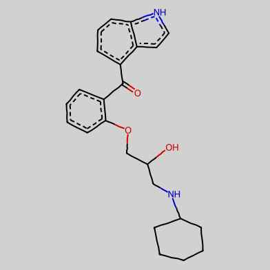 O=C(c1ccccc1OCC(O)CNC1CCCCC1)c1cccc2[nH]ccc12